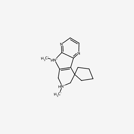 [CH2-][NH+]1CC2=C(c3nccnc3[NH+]2[CH2-])C2(CCCC2)C1